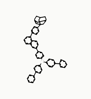 c1ccc(-c2ccc(N(c3ccc(-c4ccccc4)cc3)c3ccc(-c4ccc5c(-c6ccc(C78CC9CC(CC(C9)C7)C8)cc6)cccc5c4)cc3)cc2)cc1